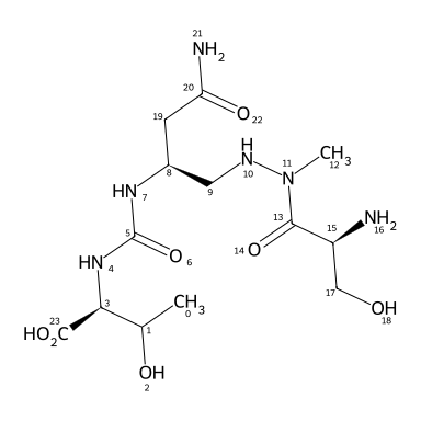 CC(O)[C@H](NC(=O)N[C@H](CNN(C)C(=O)[C@@H](N)CO)CC(N)=O)C(=O)O